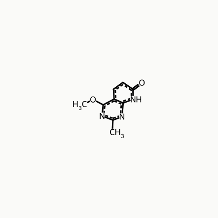 COc1nc(C)nc2[nH]c(=O)ccc12